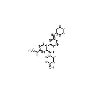 CCCCNc1ncc(-c2cncc(NC3CCCCC3)n2)c(NC2CCC(O)CC2)n1